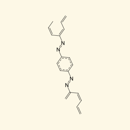 C=C/C=C\C(=C)/N=N/c1ccc(/N=N/C(/C=C\C)=C/C=C)cc1